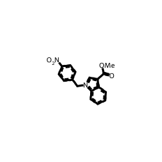 COC(=O)c1cn(Cc2ccc([N+](=O)[O-])cc2)c2ccccc12